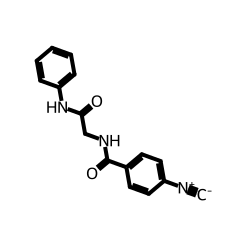 [C-]#[N+]c1ccc(C(=O)NCC(=O)Nc2ccccc2)cc1